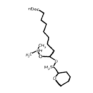 CCCCCCCCCCCCCCCCCC(O[SiH2]C1CCCCO1)O[SiH](C)C